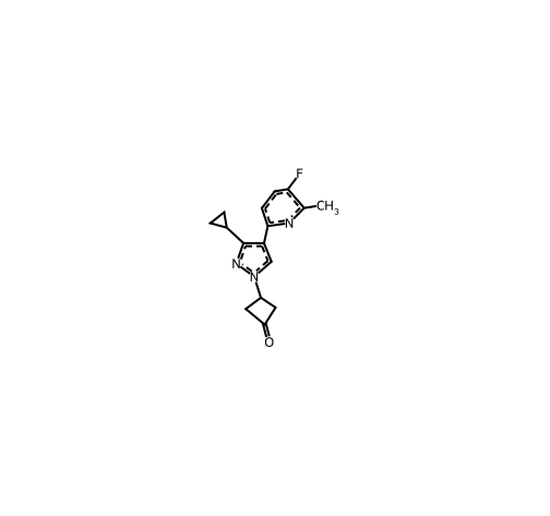 Cc1nc(-c2cn(C3CC(=O)C3)nc2C2CC2)ccc1F